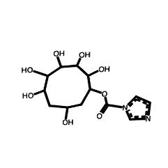 O=C(OC1CC(O)CC(O)C(O)C(O)C(O)C1O)n1ccnc1